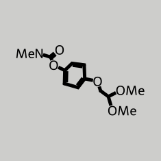 CNC(=O)Oc1ccc(OCC(OC)OC)cc1